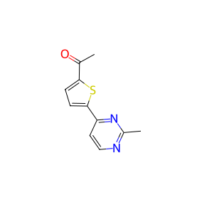 CC(=O)c1ccc(-c2ccnc(C)n2)s1